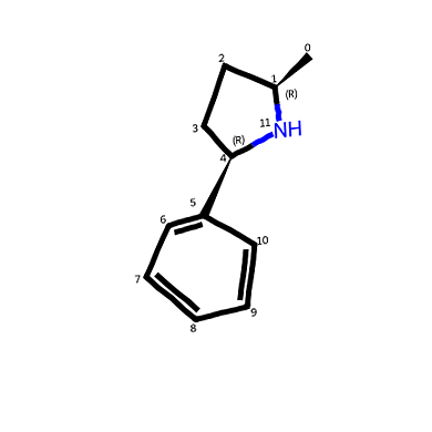 C[C@@H]1CC[C@H](c2ccccc2)N1